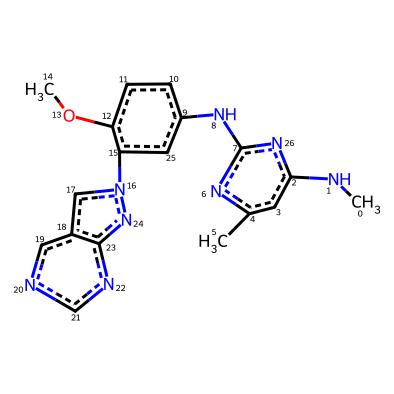 CNc1cc(C)nc(Nc2ccc(OC)c(-n3cc4cncnc4n3)c2)n1